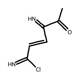 CC(=O)C(=N)/C=C/C(=N)Cl